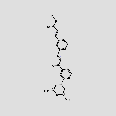 C[C@@H]1CN(c2cccc(C(=O)/C=C/c3cccc(/C=C/C(=O)NO)c3)c2)C[C@H](C)N1